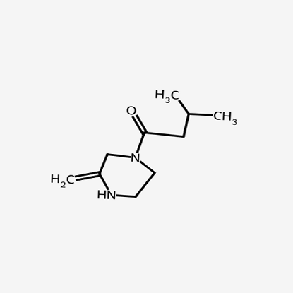 C=C1CN(C(=O)CC(C)C)CCN1